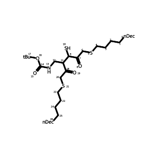 CCCCCCCCCCCCCCSCC(=O)C(S)C(CNC(=O)OC(C)(C)C)C(=O)CSCCCCCCCCCCCCCC